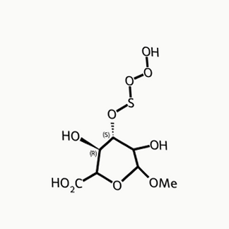 COC1OC(C(=O)O)[C@@H](O)[C@H](OSOOO)C1O